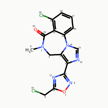 CN1Cc2c(-c3noc(CCl)n3)ncn2-c2cccc(Cl)c2C1=O